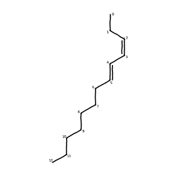 CC/[C]=C\C=C\CCCCCCC